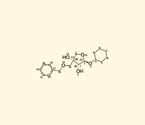 O[C@H]1[C@H](OC2CCCCC2)OC[C@]1(O)COCc1ccccc1